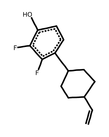 C=CC1CCC(c2ccc(O)c(F)c2F)CC1